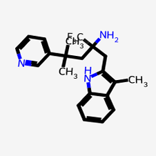 Cc1c(CC(N)(CC(C)(C)c2cccnc2)C(F)(F)F)[nH]c2ccccc12